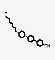 N#Cc1ccc(-c2ccc([C@H]3CC[C@H](CCC/C=C/CCF)CC3)cc2)cc1